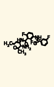 C=C/C=C(/NC(=O)c1c(F)ccc(N[S+]([O-])c2cccc(F)c2)c1F)C(N)C(C)=O